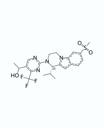 CC(O)c1cnc(N2CCn3c(cc4ccc(S(C)(=O)=O)cc43)[C@@H]2C(C)C)nc1C(F)(F)F